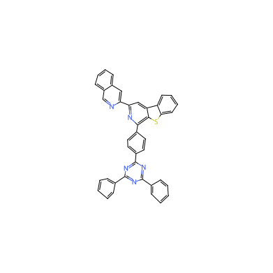 c1ccc(-c2nc(-c3ccccc3)nc(-c3ccc(-c4nc(-c5cc6ccccc6cn5)cc5c4sc4ccccc45)cc3)n2)cc1